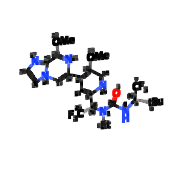 CCN(C(=O)N[C@@H](C(C)(C)C)C(F)(F)F)[C@@H](c1cc(-c2cn3ccnc3c(OC)n2)c(OC)cn1)C(F)(F)F